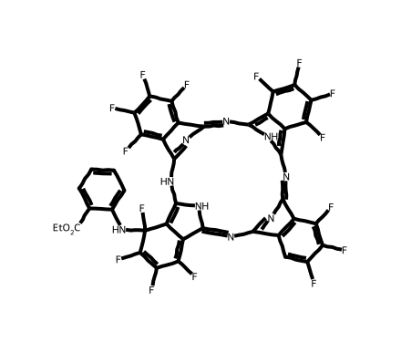 CCOC(=O)c1ccccc1NC1(F)C(F)=C(F)C(F)=c2c1c1[nH]/c2=N\C2=NC(=N\c3[nH]c(c4c(F)c(F)c(F)c(F)c34)/N=C3\N=C(N1)c1c(F)c(F)c(F)c(F)c13)/c1c2cc(F)c(F)c1F